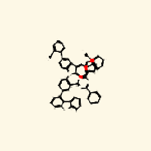 N#Cc1ccccc1-c1ccc2c(c1)c1cc(-c3ccccc3C#N)ccc1n2-c1ccc(-c2cccc3oc4ccccc4c23)cc1-c1nc(-c2ccccc2)nc(-c2ccccc2)n1